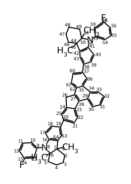 CC12CCCCC1(C)N(c1cccc(F)c1)c1ccc(-c3ccc4c(c3)Cc3c-4c4ccccc4c4cc(-c5ccc6c(c5)C5(C)CCCCC5(C)N6c5cccc(F)c5)ccc34)cc12